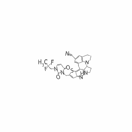 CC(F)(F)Cn1ccc(=O)n(Cc2cc3nccc(-c4cc(C#N)cc5c4N(C4CCNC4)CCC5)c3s2)c1=O